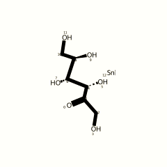 O=C(CO)[C@@H](O)[C@H](O)[C@H](O)CO.[Sn]